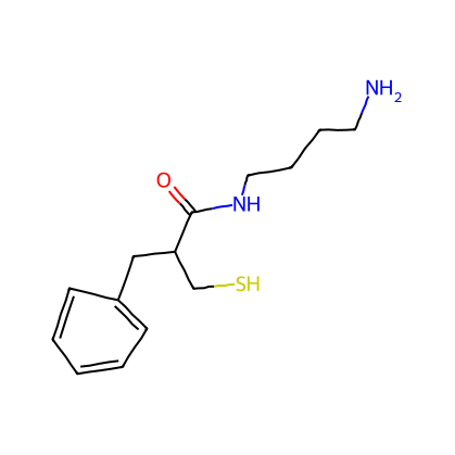 NCCCCNC(=O)C(CS)Cc1ccccc1